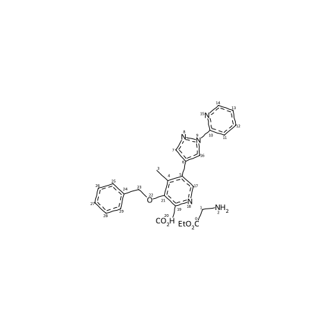 CCOC(=O)CN.Cc1c(-c2cnn(-c3ccccn3)c2)cnc(C(=O)O)c1OCc1ccccc1